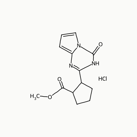 COC(=O)C1CCCC1c1nc2cccn2c(=O)[nH]1.Cl